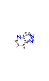 c1cnc2[se]nnc2c1